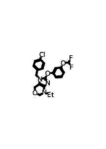 CCN1COCc2c1nc(Oc1cccc(OC(F)F)c1)n2Cc1ccc(Cl)cc1